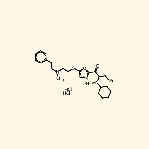 CC(C)CC(C(=O)c1nnc(SCCN(C)CCc2ccccn2)o1)N(C=O)C1CCCCC1.Cl.Cl